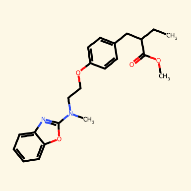 CCC(Cc1ccc(OCCN(C)c2nc3ccccc3o2)cc1)C(=O)OC